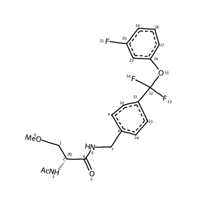 COC[C@@H](NC(C)=O)C(=O)NCc1ccc(C(F)(F)Oc2cccc(F)c2)cc1